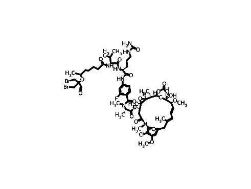 COc1cc2cc(c1Cl)N(C)C(=O)C[C@H](OC(=O)[C@H](C)N(C)C(=O)c1ccc(NC(=O)[C@H](CCCNC(N)=O)NC(=O)[C@@H](NC(=O)CCCCC(C)OC(C=O)(CBr)CBr)C(C)C)cc1F)[C@]1(C)O[C@H]1[C@H](C)[C@@H]1C[C@@](O)(NC(=O)O1)[C@H](OC)/C=C/C=C(\C)C2